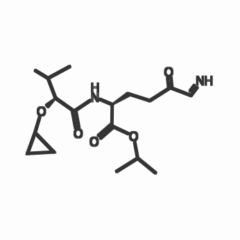 CC(C)OC(=O)[C@H](CCC(=O)C=N)NC(=O)[C@@H](OC1CC1)C(C)C